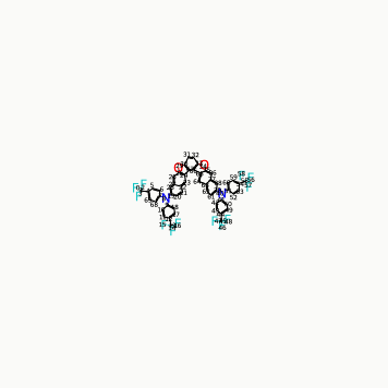 FC(F)(F)c1ccc(N(c2ccc(C(F)(F)F)cc2)c2ccc3cc4c(cc3c2)oc2ccc3oc5cc6cc(N(c7ccc(C(F)(F)F)cc7)c7ccc(C(F)(F)F)cc7)ccc6cc5c3c24)cc1